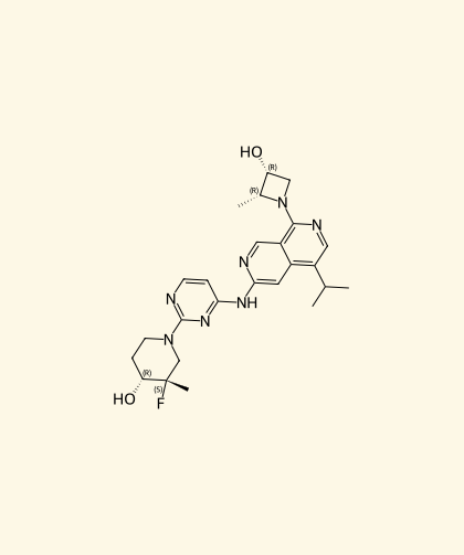 CC(C)c1cnc(N2C[C@@H](O)[C@H]2C)c2cnc(Nc3ccnc(N4CC[C@@H](O)[C@@](C)(F)C4)n3)cc12